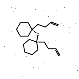 C=CCCC1(OC2(CCC=C)CCCCC2)CCCCC1